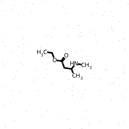 CCOC(=O)CC(C)NC